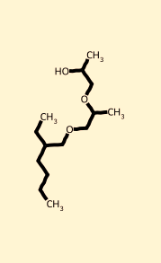 CCCCC(CC)COCC(C)OCC(C)O